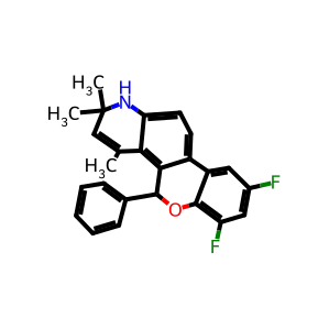 CC1=CC(C)(C)Nc2ccc3c(c21)C(c1ccccc1)Oc1c(F)cc(F)cc1-3